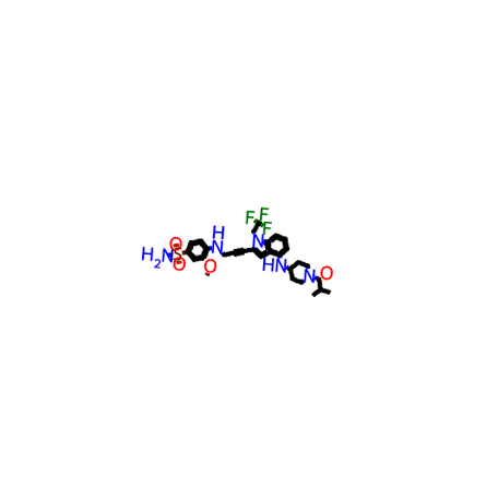 COc1cc(S(N)(=O)=O)ccc1NCC#Cc1cc2c(NC3CCN(C(=O)C(C)C)CC3)cccc2n1CC(F)(F)F